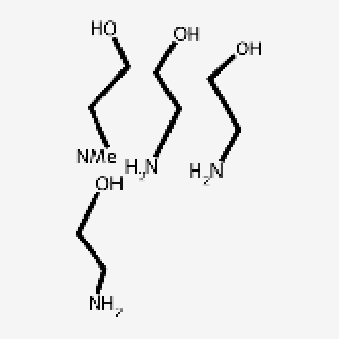 CNCCO.NCCO.NCCO.NCCO